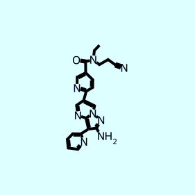 CCN(CCC#N)C(=O)c1ccc(-c2cnc3c(-c4ccccn4)c(N)nn3c2)nc1